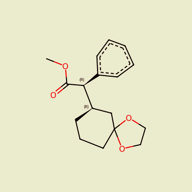 COC(=O)[C@@H](c1ccccc1)[C@@H]1CCCC2(C1)OCCO2